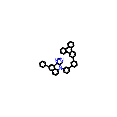 c1ccc(-c2cc3c4c(cccc4c2)N(c2cccc(-c4cccc(-c5ccc6c7ccccc7c7ccccc7c6c5)c4)c2)c2cncnc2-3)cc1